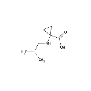 CC(C)CNC1(C(=O)O)CC1